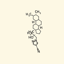 C[C@@H]1CC2CC[C@@H]3C(CC[C@@]4(C)C3CC[C@@H]4C(C)(O)Cn3cc(C#N)cn3)[C@H]2C[C@H]1C